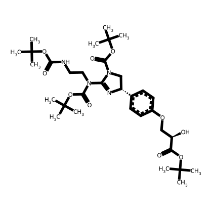 CC(C)(C)OC(=O)NCCN(C(=O)OC(C)(C)C)C1=N[C@@H](c2ccc(OC[C@@H](O)C(=O)OC(C)(C)C)cc2)CN1C(=O)OC(C)(C)C